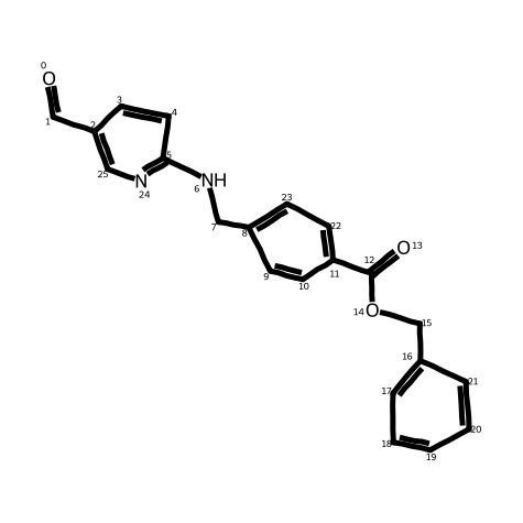 O=Cc1ccc(NCc2ccc(C(=O)OCc3ccccc3)cc2)nc1